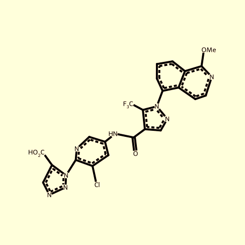 COc1nccc2c(-n3ncc(C(=O)Nc4cnc(-n5nncc5C(=O)O)c(Cl)c4)c3C(F)(F)F)cccc12